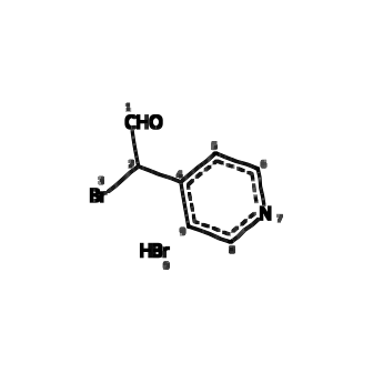 Br.O=CC(Br)c1ccncc1